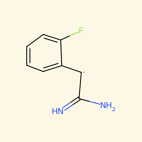 N=C(N)[CH]c1ccccc1F